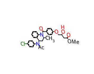 COC(=O)CC(O)COc1ccc(C(=O)N2c3ccccc3C(N(C(C)=O)c3ccc(Cl)cc3)CC2C)cc1